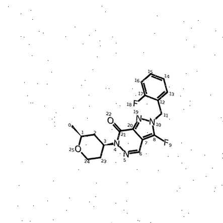 C[C@H]1C[C@@H](n2ncc3c(F)n(Cc4ccccc4F)nc3c2=O)CCO1